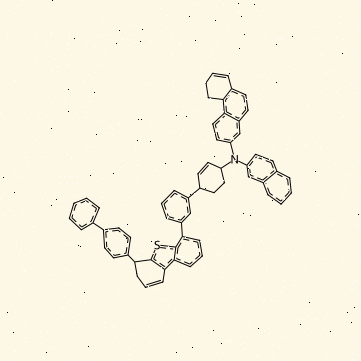 C1=Cc2ccc3cc(N(c4ccc5ccccc5c4)C4C=CC(c5cccc(-c6cccc7c8c(sc67)C(c6ccc(-c7ccccc7)cc6)CC=C8)c5)CC4)ccc3c2CC1